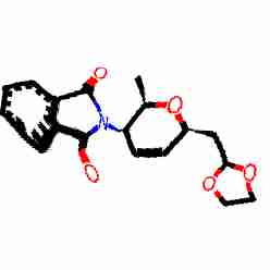 C[C@H]1O[C@@H](CC2OCCO2)C=C[C@H]1N1C(=O)c2ccccc2C1=O